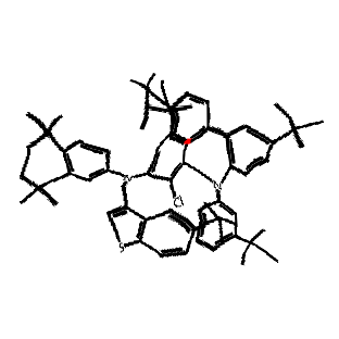 CC(C)(C)c1ccc(-c2cc(C(C)(C)C)ccc2N(c2cccc(C(C)(C)C)c2)c2cc(C(C)(C)C)cc(N(c3ccc4c(c3)C(C)(C)CCC4(C)C)c3csc4ccc(C(C)(C)C)cc34)c2Cl)cc1